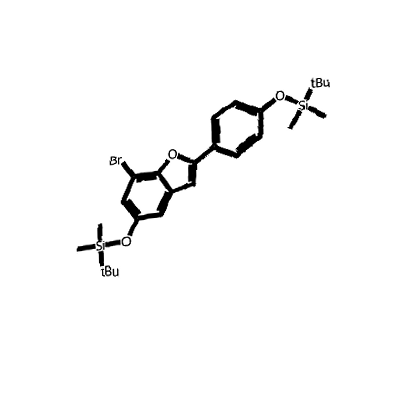 CC(C)(C)[Si](C)(C)Oc1ccc(-c2cc3cc(O[Si](C)(C)C(C)(C)C)cc(Br)c3o2)cc1